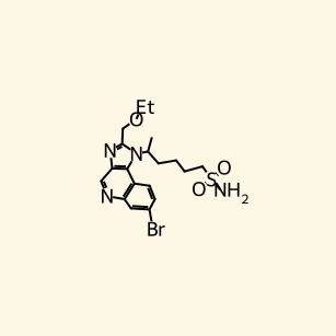 CCOCc1nc2cnc3cc(Br)ccc3c2n1C(C)CCCCS(N)(=O)=O